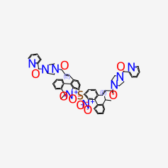 CC(C)c1ccccc1-c1c(/C=C/C(=O)N2CCN(C(=O)c3ccccn3)CC2)ccc(Sc2ccc(/C=C/C(=O)N3CCN(C(=O)c4ccccn4)CC3)c(-c3ccccc3C(C)C)c2[N+](=O)[O-])c1[N+](=O)[O-]